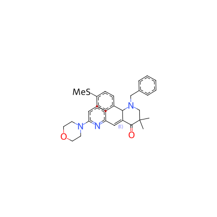 CSc1ccc(C2/C(=C\c3cccc(N4CCOCC4)n3)C(=O)C(C)(C)CN2Cc2ccccc2)cc1